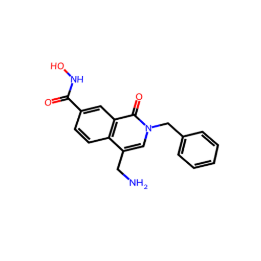 NCc1cn(Cc2ccccc2)c(=O)c2cc(C(=O)NO)ccc12